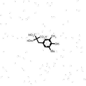 CCCCCCCCCCC(Cc1cc(C)c(O)c(C(C)(C)C)c1)(C(=O)O)C(=O)O